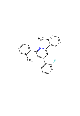 Cc1ccccc1-c1cc(-c2ccccc2F)cc(-c2ccccc2C)n1